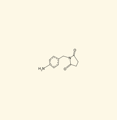 Nc1ccc(CN2C(=O)CCC2=O)cc1